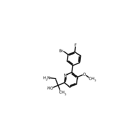 COc1ccc(C(C)(O)CN)nc1-c1ccc(F)c(Br)c1